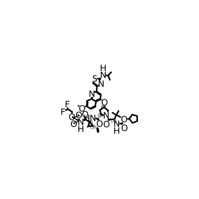 C=C[C@@H]1C[C@]1(NC(=O)[C@@H]1C[C@@H](Oc2cc(-c3csc(NC(C)C)n3)nc3cc(OC)ccc23)CN1C(=O)[C@@H](NC(=O)OC1CCCC1)C(C)(C)C)C(=O)NS(=O)(=O)OCC(F)F